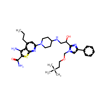 CCCc1cc(N2CCC(NCC(O)c3nc(-c4ccccc4)cn3COCC[Si](C)(C)C)CC2)nc2sc(C(N)=O)c(N)c12